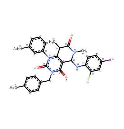 COc1ccc(Cn2c(=O)c3c(n(-c4cccc(NC(C)=O)c4)c2=O)C(C)C(=O)N(C)C3Nc2ccc(I)cc2F)cc1